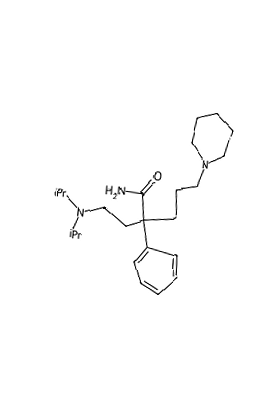 CC(C)N(CCC(CCCN1CCCCC1)(C(N)=O)c1ccccc1)C(C)C